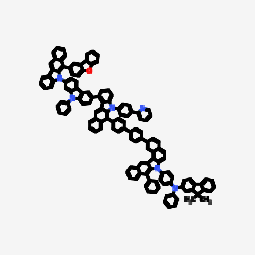 CC1(C)c2ccccc2-c2ccc(N(c3ccccc3)c3ccc(-n4c5ccc6ccc(-c7ccc(-c8ccc(-c9c%10ccccc%10cc%10c%11c(-c%12ccc%13c(c%12)c%12ccc(-n%14c%15ccccc%15c%15cc%16ccccc%16c(-c%16ccc%17oc%18ccccc%18c%17c%16)c%15%14)cc%12n%13-c%12ccccc%12)cccc%11n(-c%11ccc(-c%12ccccn%12)cc%11)c9%10)cc8)cc7)cc6c5c5cc6ccccc6c(-c6ccccc6)c54)cc3)cc21